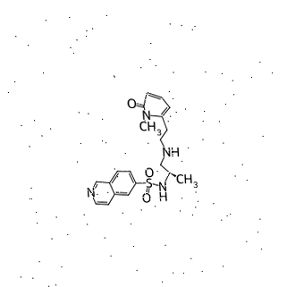 C[C@H](CNCCc1cccc(=O)n1C)NS(=O)(=O)c1ccc2cnccc2c1